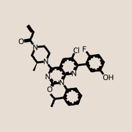 C=CC(=O)N1CCN(c2nc(=O)n(-c3ccccc3C(C)C)c3nc(-c4cc(O)ccc4F)c(Cl)cc23)[C@@H](C)C1